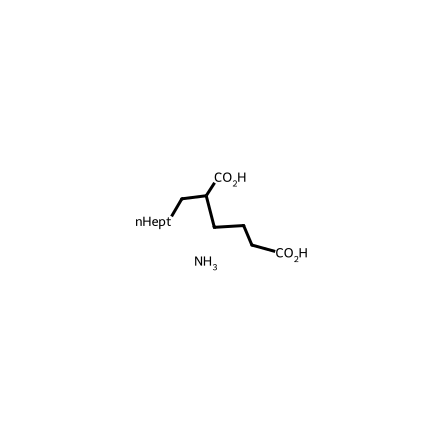 CCCCCCCCC(CCCC(=O)O)C(=O)O.N